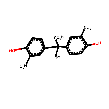 CCCC(C(=O)O)(c1ccc(O)c([N+](=O)[O-])c1)c1ccc(O)c([N+](=O)[O-])c1